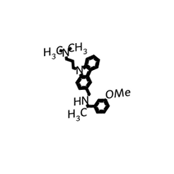 COc1cccc([C@@H](C)NCc2ccc3c(c2)c2ccccc2n3CCCN(C)C)c1